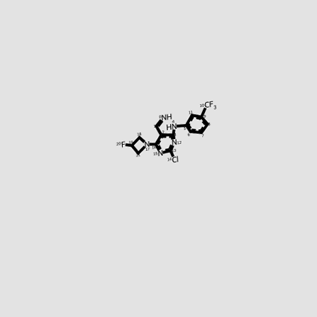 N=Cc1c(Nc2cccc(C(F)(F)F)c2)nc(Cl)nc1N1CC(F)C1